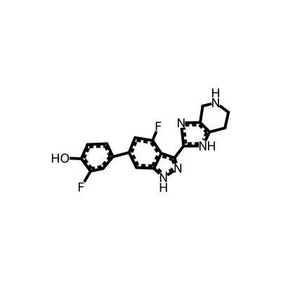 Oc1ccc(-c2cc(F)c3c(-c4nc5c([nH]4)CCNC5)n[nH]c3c2)cc1F